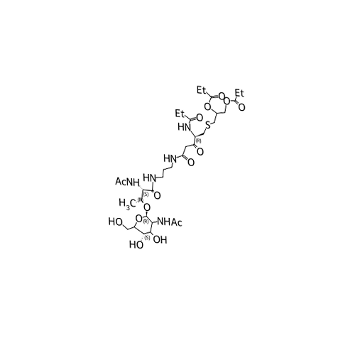 CCC(=O)N[C@@H](CSCC(COC(=O)CC)OC(=O)CC)C(=O)CC(=O)NCCCNC(=O)[C@@H](NC(C)=O)[C@@H](C)O[C@@H]1OC(CO)[C@@H](O)C(O)C1NC(C)=O